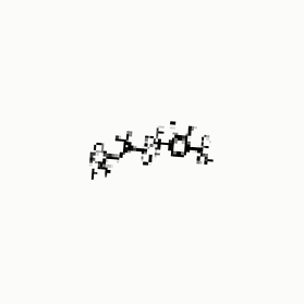 COC(=O)c1ccc(C(F)(F)OC(=O)C2C(C=C(Cl)C(F)(F)F)C2(C)C)c(F)c1F